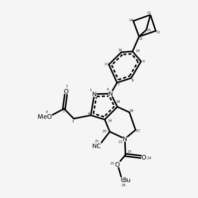 COC(=O)Cc1nn(-c2ccc(C34CC(C3)C4)cc2)c2c1C(C#N)N(C(=O)OC(C)(C)C)CC2